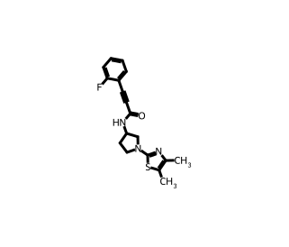 Cc1nc(N2CCC(NC(=O)C#Cc3ccccc3F)C2)sc1C